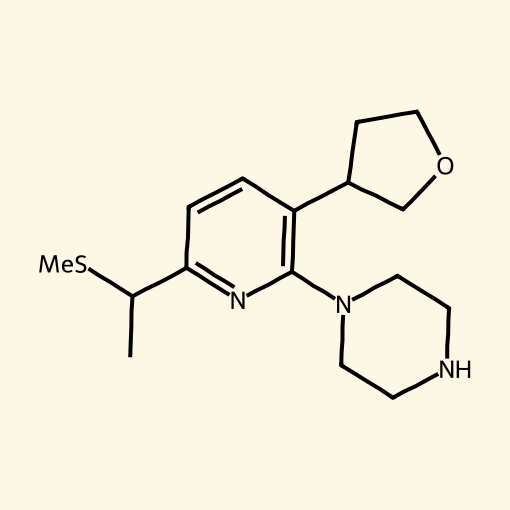 CSC(C)c1ccc(C2CCOC2)c(N2CCNCC2)n1